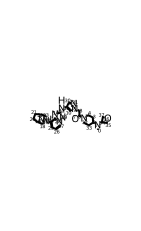 CN(C1CCN(C(=O)Cn2cc(Nc3nc4c(N5CC6CCC(C5)N6)cccn4n3)cn2)CC1)C1COC1